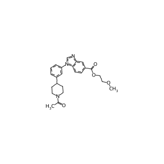 COCCOC(=O)c1ccc2c(c1)ncn2-c1cccc(C2CCN(C(C)=O)CC2)c1